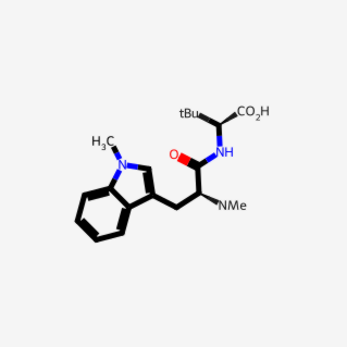 CN[C@@H](Cc1cn(C)c2ccccc12)C(=O)N[C@H](C(=O)O)C(C)(C)C